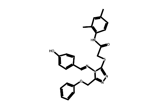 Cc1ccc(NC(=O)CSc2nnc(COc3ccccc3)n2N=Cc2ccc(O)cc2)c(C)c1